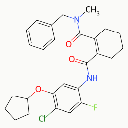 CN(Cc1ccccc1)C(=O)C1=C(C(=O)Nc2cc(OC3CCCC3)c(Cl)cc2F)CCCC1